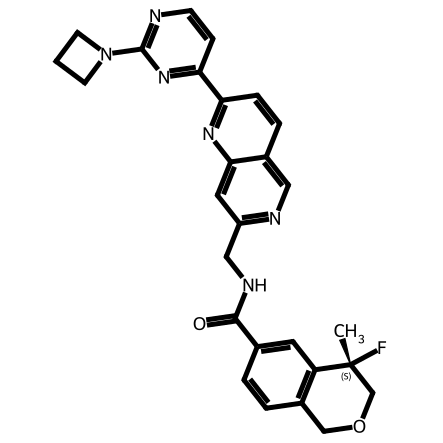 C[C@@]1(F)COCc2ccc(C(=O)NCc3cc4nc(-c5ccnc(N6CCC6)n5)ccc4cn3)cc21